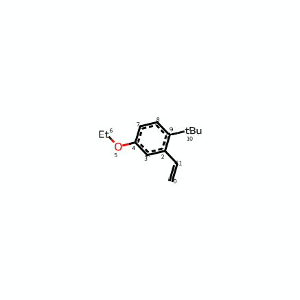 C=[C]c1cc(OCC)ccc1C(C)(C)C